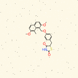 COc1ccc2ccc(OC)c(COc3ccc(CC4SC(=O)NC4=O)cc3)c2c1C